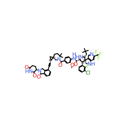 COc1cc(C(=O)N2C[C@]3(CCC2(C)C)C[C@@H]3C#Cc2cccc3c2CN(C2CCC(=O)NC2=O)C3=O)ccc1NC(=O)[C@@H]1N[C@@H](CC(C)(C)C)[C@@]2(CNc3cc(C(F)(F)F)ncc32)[C@H]1c1cccc(Cl)c1F